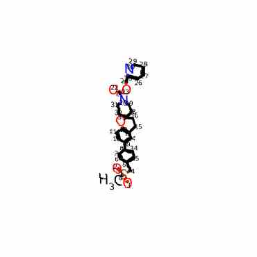 CS(=O)(=O)Cc1ccc(-c2ccc3c(c2)CCC2(CCN(C(=O)OCc4ccccn4)CC2)O3)cc1